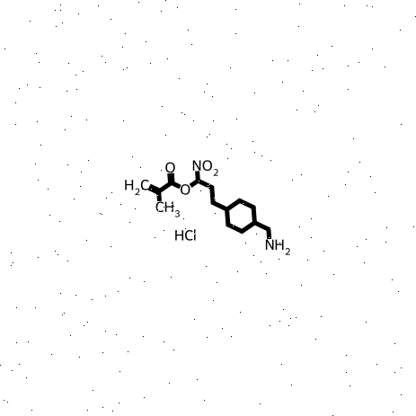 C=C(C)C(=O)OC(CCC1CCC(CN)CC1)[N+](=O)[O-].Cl